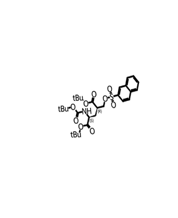 CC(C)(C)OC(=O)N[C@@H](C[C@H](COS(=O)(=O)c1ccc2ccccc2c1)C(=O)OC(C)(C)C)C(=O)OC(C)(C)C